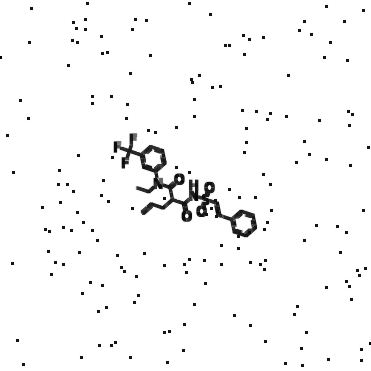 C=CCC(C(=O)NS(=O)(=O)C=Cc1ccccc1)C(=O)N(CC)c1cccc(C(F)(F)F)c1